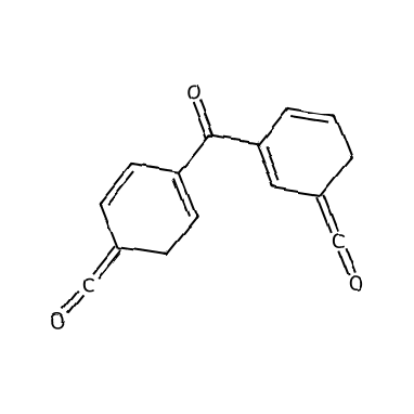 O=C=C1C=CC(C(=O)C2=CC(=C=O)CC=C2)=CC1